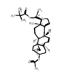 CC(=O)O[C@H]1CC[C@@]2(C=O)[C@@H](CC[C@H]3C4=CC[C@H]([C@H](C)OC(=O)C(C)(C)C)[C@@]4(C)CC[C@@H]32)C1